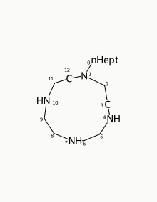 CCCCCCCN1CCNCCNCCNCC1